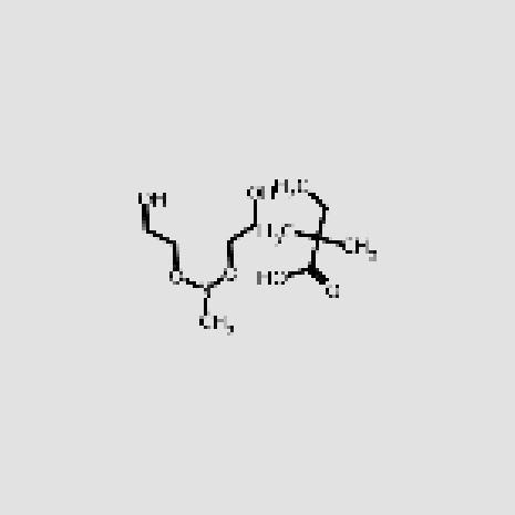 CCC(C)(C)C(=O)O.CN(OCCO)OCCO